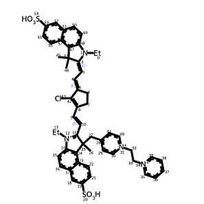 CCN1/C(=C/C=C2\CCC(/C=C/C3=[N+](CC)c4ccc5cc(S(=O)(=O)O)ccc5c4C3(C)Cc3cc[n+](CC[n+]4ccccc4)cc3)=C2Cl)C(C)(C)c2c1ccc1cc(S(=O)(=O)O)ccc21